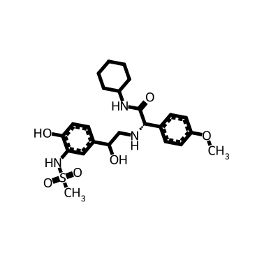 COc1ccc([C@H](NCC(O)c2ccc(O)c(NS(C)(=O)=O)c2)C(=O)NC2CCCCC2)cc1